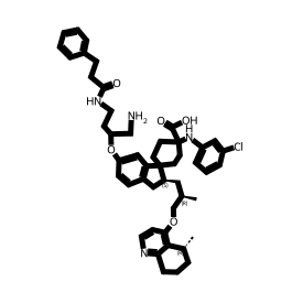 C[C@@H](COc1ccnc2c1[C@H](C)CCC2)C[C@H]1Cc2ccc(OC(CN)CCNC(=O)CCc3ccccc3)cc2C12CCC(Nc1cccc(Cl)c1)(C(=O)O)CC2